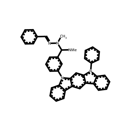 CNC(c1cccc(-n2c3ccccc3c3cc4c5ccccc5n(-c5ccccc5)c4cc32)c1)N(C)/N=C/c1ccccc1